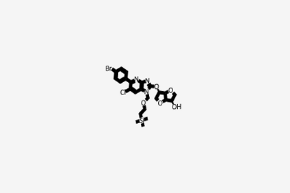 C[Si](C)(C)CCOCn1c(O[C@@H]2COC3C2OC[C@H]3O)nc2nc(-c3ccc(Br)cc3)c(Cl)cc21